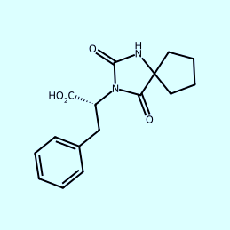 O=C(O)[C@@H](Cc1ccccc1)N1C(=O)NC2(CCCC2)C1=O